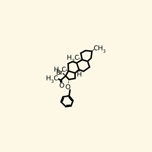 CC(=O)[C@@]1(Br)[C@@H](OCc2ccccc2)CC2[C@@H]3CCC4C[C@@H](C)CC[C@]4(C)C3CC[C@@]21C